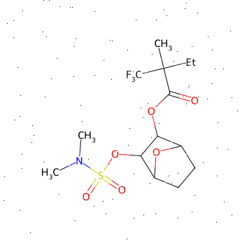 CCC(C)(C(=O)OC1C2CCC(O2)C1OS(=O)(=O)N(C)C)C(F)(F)F